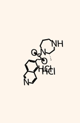 C[C@H]1CNCCCN1S(=O)(=O)c1ccc2cnccc2c1.Cl.Cl